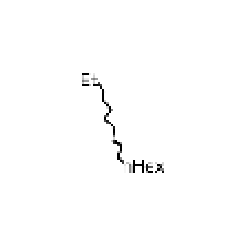 [CH2]CC=CCCCC=CCCCCCCC